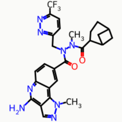 CN(C(=O)C1CCC2CC1C2)N(Cc1ccc(C(F)(F)F)nn1)C(=O)c1ccc2nc(N)c3cnn(C)c3c2c1